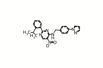 CC(C)c1ccccc1-c1ncc([N+](=O)[O-])c(NCc2ccc(-n3cccn3)cc2)n1